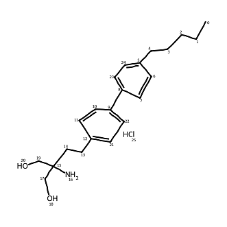 CCCCCc1ccc(-c2ccc(CCC(N)(CO)CO)cc2)cc1.Cl